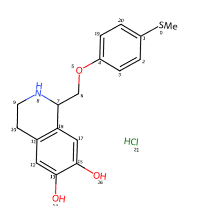 CSc1ccc(OCC2NCCc3cc(O)c(O)cc32)cc1.Cl